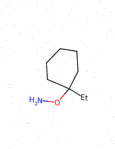 CCC1(ON)CCCCC1